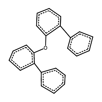 c1ccc(-c2ccccc2Oc2ccccc2-c2ccccc2)cc1